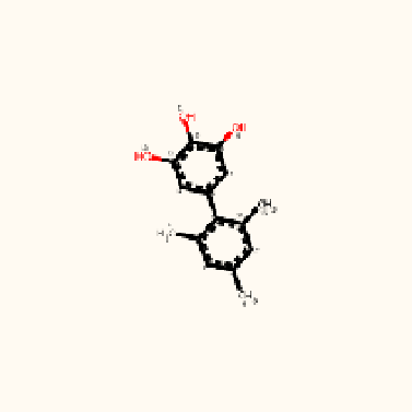 Cc1cc(C)c(-c2cc(O)c(O)c(O)c2)c(C)c1